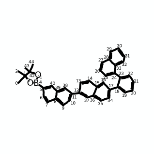 CC1(C)OB(c2ccc3ccc(-c4ccc5cc(-c6ccccc6-c6cccc7ccccc67)ccc5c4)cc3c2)OC1(C)C